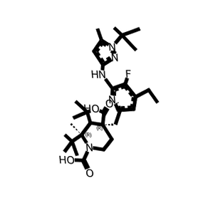 CCc1cc(C[C@]2(C(=O)O)CCN(C(=O)O)[C@@](C)(C(C)(C)C)C2C(C)(C)C)nc(Nc2cc(C)n(C(C)(C)C)n2)c1F